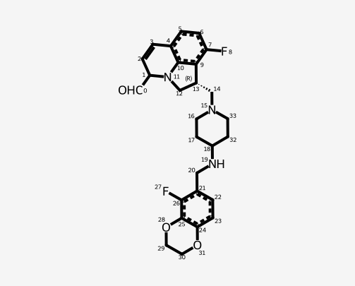 O=CC1C=Cc2ccc(F)c3c2N1C[C@H]3CN1CCC(NCc2ccc3c(c2F)OCCO3)CC1